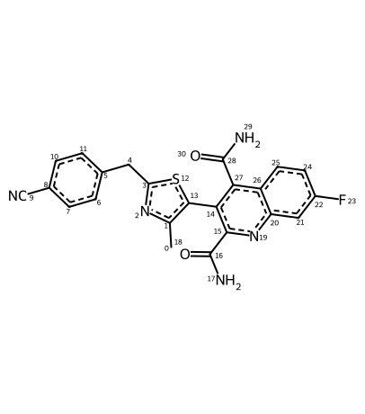 Cc1nc(Cc2ccc(C#N)cc2)sc1-c1c(C(N)=O)nc2cc(F)ccc2c1C(N)=O